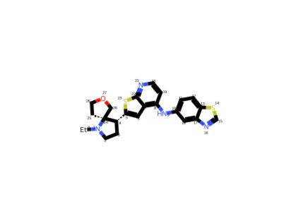 CCN1CC[C@@H](c2cc3c(Nc4ccc5scnc5c4)ccnc3s2)[C@@]12CCOC2